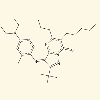 CCCCCc1c(CCC)nc2n(c1=O)N=C(C(C)(C)C)C2=Nc1ccc(N(CC)CC)cc1C